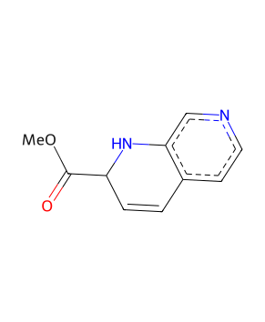 COC(=O)C1C=Cc2ccncc2N1